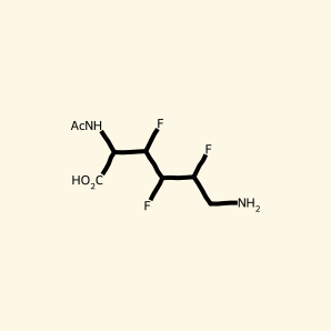 CC(=O)NC(C(=O)O)C(F)C(F)C(F)CN